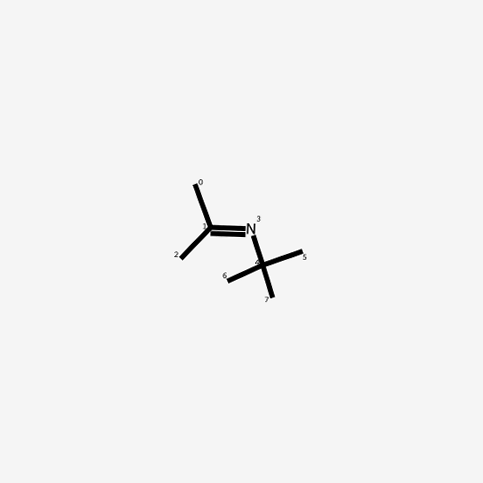 CC(C)=NC(C)(C)C